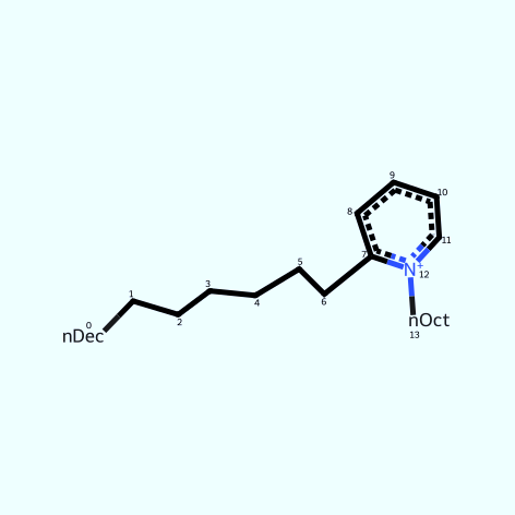 CCCCCCCCCCCCCCCCc1cccc[n+]1CCCCCCCC